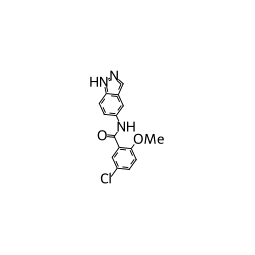 COc1ccc(Cl)cc1C(=O)Nc1ccc2[nH]ncc2c1